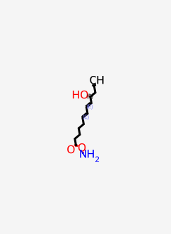 C#CC[C@@H](O)/C=C/C=C/CCCCC(=O)ON